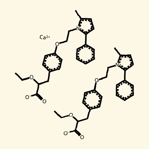 CCOC(Cc1ccc(OCCn2c(C)ccc2-c2ccccc2)cc1)C(=O)[O-].CCOC(Cc1ccc(OCCn2c(C)ccc2-c2ccccc2)cc1)C(=O)[O-].[Ca+2]